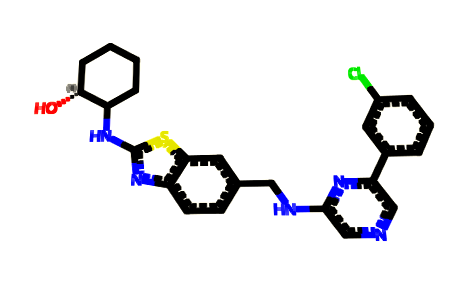 O[C@@H]1CCCCC1Nc1nc2ccc(CNc3cncc(-c4cccc(Cl)c4)n3)cc2s1